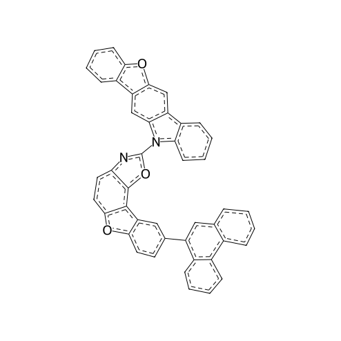 c1ccc2c(c1)cc(-c1ccc3oc4ccc5nc(-n6c7ccccc7c7cc8oc9ccccc9c8cc76)oc5c4c3c1)c1ccccc12